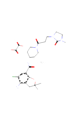 CCN1CCN(CCC(=O)N2CC[C@@H](NC(=O)c3cc(Cl)c(N)c4c3OC(C)(C)C4)[C@@H](OC)C2)C1=O.O=C(O)C(=O)O